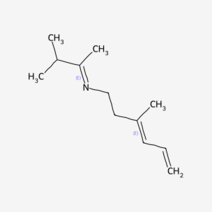 C=C/C=C(\C)CC/N=C(\C)C(C)C